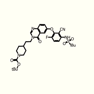 CCC(C)S(=O)(=O)Nc1ccc(F)c(Oc2ccc3ncn(CCC4CCN(C(=O)OC(C)(C)C)CC4)c(=O)c3c2)c1C#N